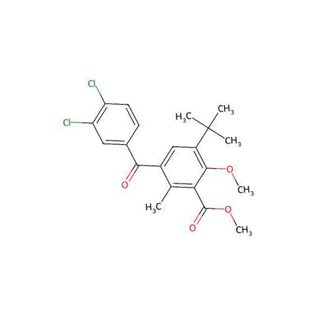 COC(=O)c1c(C)c(C(=O)c2ccc(Cl)c(Cl)c2)cc(C(C)(C)C)c1OC